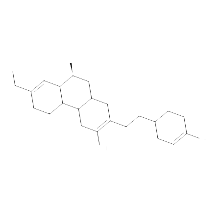 CCC1=CC2C(CC1)C1CC(C)=C(CCC3CC=C(O)CC3)CC1C[C@@H]2C